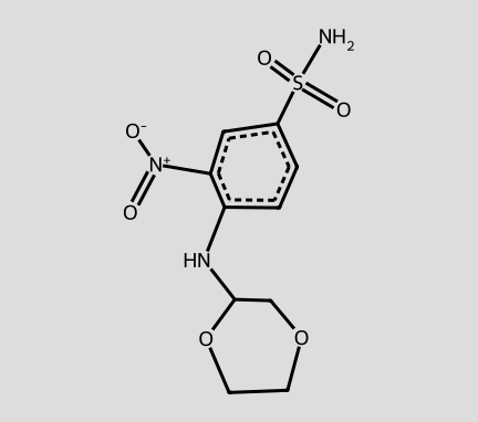 NS(=O)(=O)c1ccc(NC2COCCO2)c([N+](=O)[O-])c1